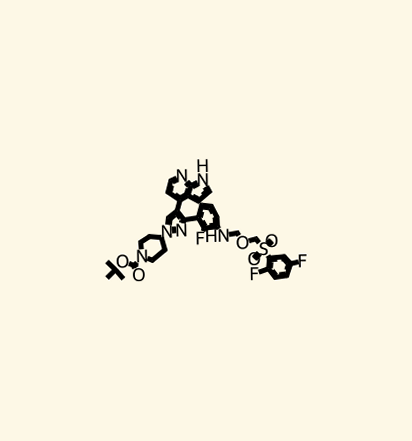 CC(C)(C)OC(=O)N1CCC(n2cc(-c3ccnc4[nH]ccc34)c(-c3cccc(NCOCS(=O)(=O)c4cc(F)ccc4F)c3F)n2)CC1